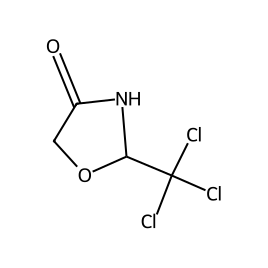 O=C1COC(C(Cl)(Cl)Cl)N1